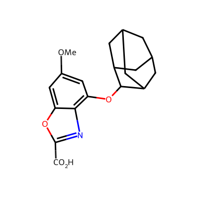 COc1cc(OC2C3CC4CC(C3)CC2C4)c2nc(C(=O)O)oc2c1